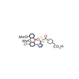 COc1cccc([C@H]2O[C@H](C(F)(F)C(=O)N3CCC(CC(=O)O)CC3)c3cccn3-c3ccc(Cl)cc32)c1OC